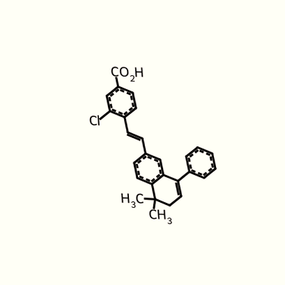 CC1(C)CC=C(c2ccccc2)c2cc(/C=C/c3ccc(C(=O)O)cc3Cl)ccc21